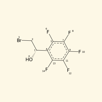 O[C@H](CBr)c1c(F)c(F)c(F)c(F)c1F